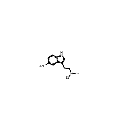 CCN(CC)CCc1c[nH]c2ccc(OC(C)=O)cc12